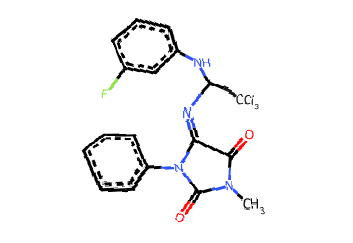 CN1C(=O)C(=NC(Nc2cccc(F)c2)C(Cl)(Cl)Cl)N(c2ccccc2)C1=O